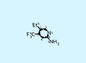 CCc1cnc(N)cc1C(F)(F)F